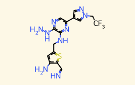 N=Cc1sc(CNc2nc(-c3cnn(CC(F)(F)F)c3)cnc2NN)cc1N